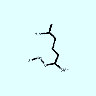 CSC(CCCC(C)N)[O][Sn][Br]